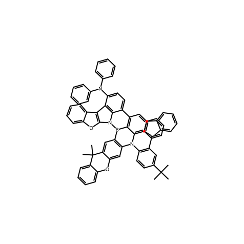 CC(C)(C)c1ccc(N2c3cc4c(cc3B3c5c(cc6c(oc7ccccc76)c52)-c2ccc(N(c5ccccc5)c5ccccc5)c5c6c7ccccc7oc6n3c25)C(C)(C)c2ccccc2O4)c(-c2ccccc2)c1